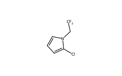 FC(F)(F)Cn1cccc1Cl